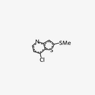 CSc1cc2nccc(Cl)c2s1